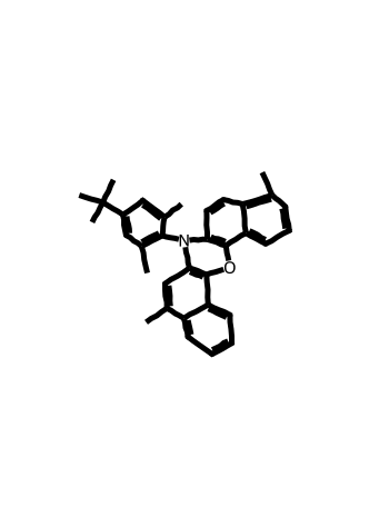 Cc1cc(C(C)(C)C)cc(C)c1N1c2ccc3c(C)cccc3c2Oc2c1cc(C)c1ccccc21